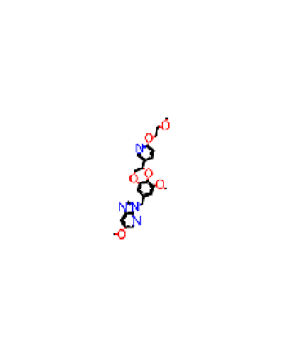 COCCOc1ccc(C2COc3cc(Cn4cnc5cc(OC)cnc54)cc(OC)c3O2)cn1